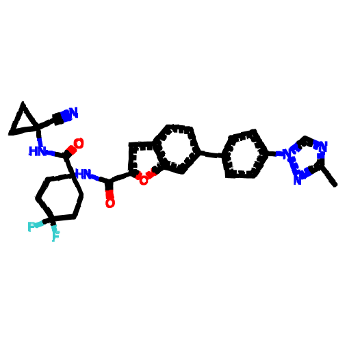 Cc1ncn(-c2ccc(-c3ccc4cc(C(=O)NC5(C(=O)NC6(C#N)CC6)CCC(F)(F)CC5)oc4c3)cc2)n1